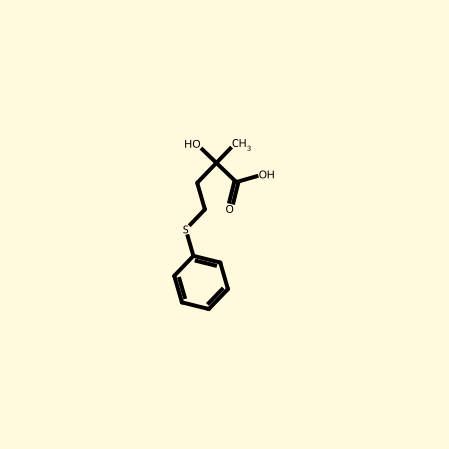 CC(O)(CCSc1ccccc1)C(=O)O